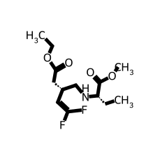 CCOC(=O)C[C@@H](C=C(F)F)CN[C@@H](CC)C(=O)OC